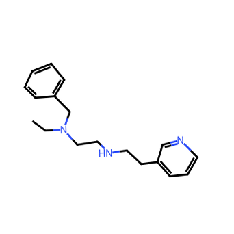 CCN(CCNCCc1cccnc1)Cc1ccccc1